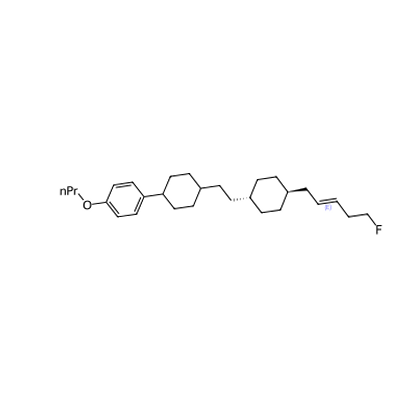 CCCOc1ccc(C2CCC(CC[C@H]3CC[C@H](C/C=C/CCF)CC3)CC2)cc1